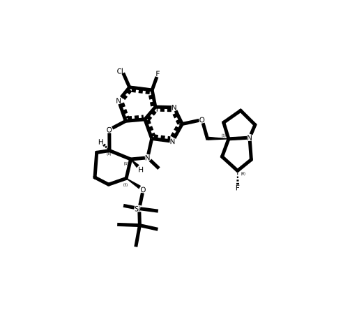 CN1c2nc(OC[C@@]34CCCN3C[C@H](F)C4)nc3c(F)c(Cl)nc(c23)O[C@@H]2CCC[C@H](O[Si](C)(C)C(C)(C)C)[C@H]21